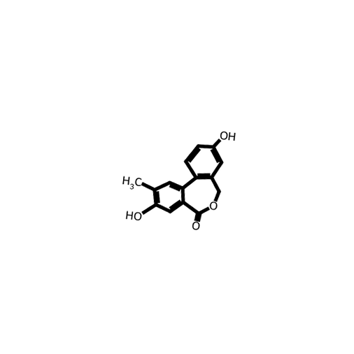 Cc1cc2c(cc1O)C(=O)OCc1cc(O)ccc1-2